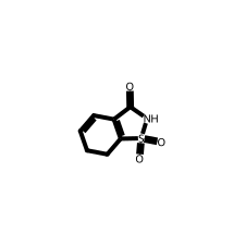 O=C1NS(=O)(=O)C2=C1C=CCC2